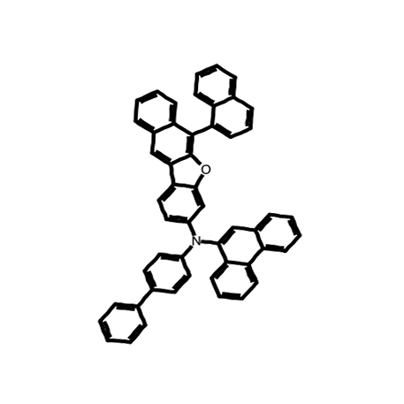 c1ccc(-c2ccc(N(c3ccc4c(c3)oc3c(-c5cccc6ccccc56)c5ccccc5cc34)c3cc4ccccc4c4ccccc34)cc2)cc1